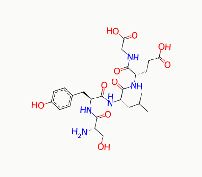 CC(C)C[C@H](NC(=O)[C@H](Cc1ccc(O)cc1)NC(=O)[C@@H](N)CO)C(=O)N[C@@H](CCC(=O)O)C(=O)NCC(=O)O